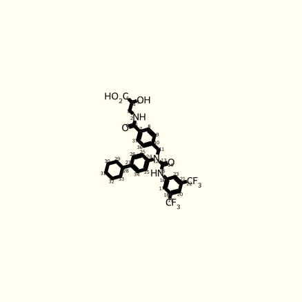 O=C(NCC(O)C(=O)O)c1ccc(CN(C(=O)Nc2cc(C(F)(F)F)cc(C(F)(F)F)c2)c2ccc(C3CCCCC3)cc2)cc1